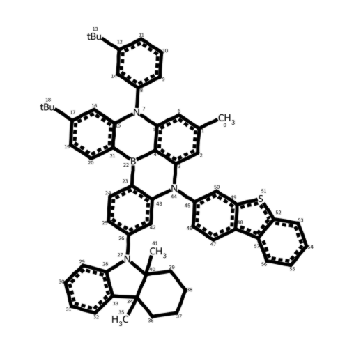 Cc1cc2c3c(c1)N(c1cccc(C(C)(C)C)c1)c1cc(C(C)(C)C)ccc1B3c1ccc(N3c4ccccc4C4(C)CCCCC34C)cc1N2c1ccc2c(c1)sc1ccccc12